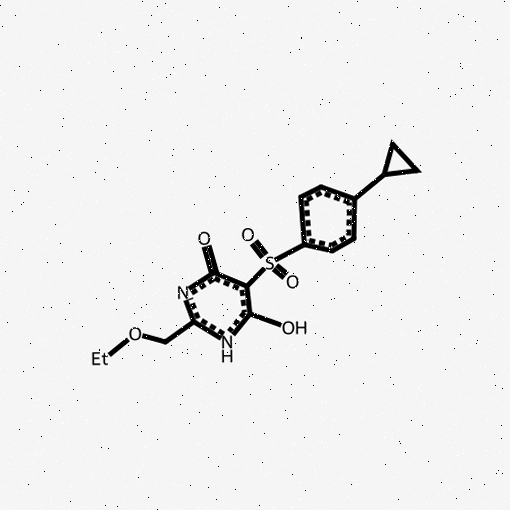 CCOCc1nc(=O)c(S(=O)(=O)c2ccc(C3CC3)cc2)c(O)[nH]1